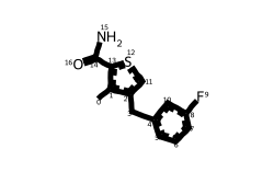 Cc1c(Cc2cccc(F)c2)csc1C(N)=O